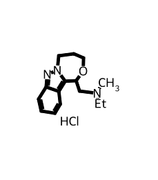 CCN(C)CC1OCCCn2nc3ccccc3c21.Cl